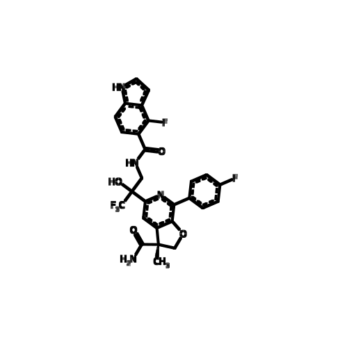 C[C@]1(C(N)=O)COc2c1cc(C(O)(CNC(=O)c1ccc3[nH]ccc3c1F)C(F)(F)F)nc2-c1ccc(F)cc1